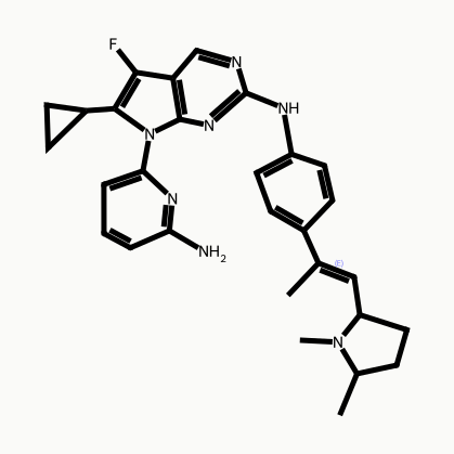 C/C(=C\C1CCC(C)N1C)c1ccc(Nc2ncc3c(F)c(C4CC4)n(-c4cccc(N)n4)c3n2)cc1